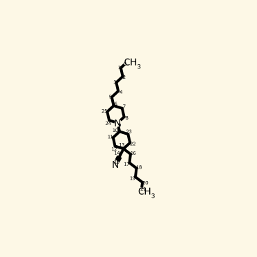 CCCCCCC1CCN(C2CCC(C#N)(CCCCCC)CC2)CC1